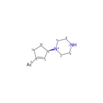 CC(=O)C1=C[C@H](N2CCNCC2)CC1